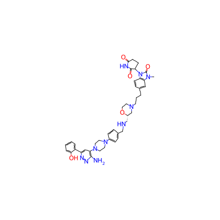 Cn1c(=O)n(C2CCC(=O)NC2=O)c2ccc(CCCN3CCO[C@@H](CNCc4ccc(N5CCN(c6cc(-c7ccccc7O)nnc6N)CC5)cc4)C3)cc21